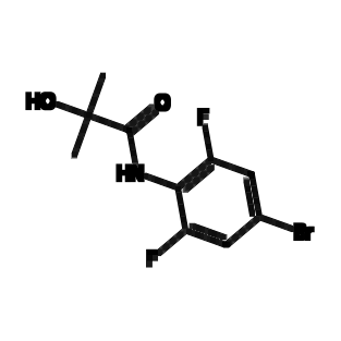 CC(C)(O)C(=O)Nc1c(F)cc(Br)cc1F